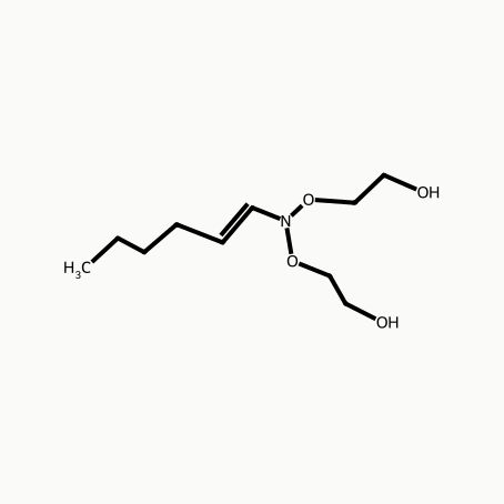 CCCCC=CN(OCCO)OCCO